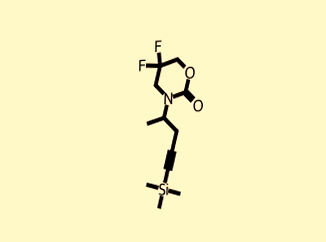 CC(CC#C[Si](C)(C)C)N1CC(F)(F)COC1=O